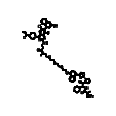 C=CC(=O)N1CCN(c2nc(NCCC(=O)N(C)CCOCCOCCOCCOc3ccc(-c4csc([C@@H]5CCCN5C(=O)C(NC(=O)[C@H](C)NC)C5CCCCC5)n4)c4ccccc34)nc3c(F)c(-c4cc(O)cc5ccccc45)c(Cl)cc23)CC1